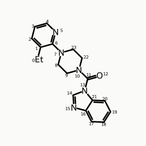 CCc1cccnc1N1CCN(C(=O)n2cnc3ccccc32)CC1